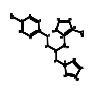 Clc1ccc(CCC(Cn2ccnc2)Sc2sccc2Cl)cc1